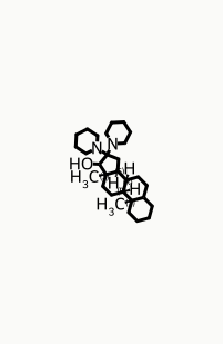 C[C@]12CCCCC1CC[C@@H]1[C@H]2CC[C@]2(C)C(O)C(N3CCCCC3)(N3CCCCC3)C[C@@H]12